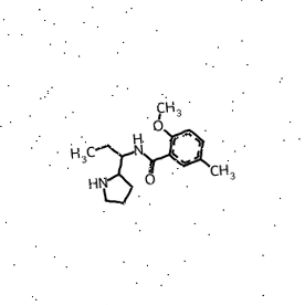 CCC(NC(=O)c1cc(C)ccc1OC)C1CCCN1